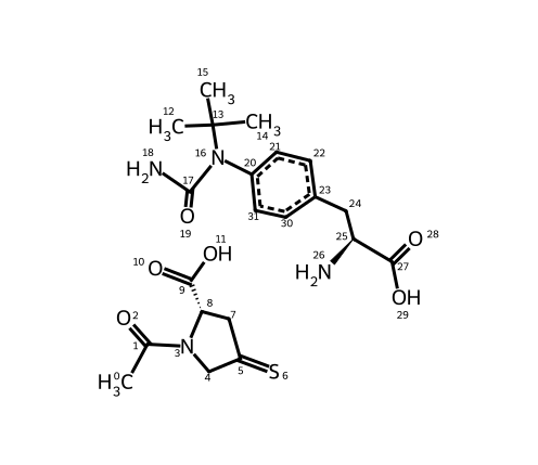 CC(=O)N1CC(=S)C[C@H]1C(=O)O.CC(C)(C)N(C(N)=O)c1ccc(C[C@H](N)C(=O)O)cc1